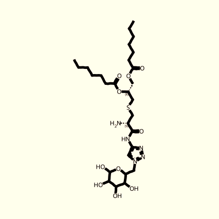 CCCCCCC(=O)OC[C@H](CSC[C@@H](N)C(=O)Nc1cn(CC2OC(O)C(O)C(O)C2O)nn1)OC(=O)CCCCCC